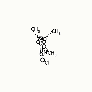 CCCCCCOC(=O)C1(C(=O)OCCCCCC)Oc2ccc(CC(C)NCC(O)c3cccc(Cl)c3)cc2O1